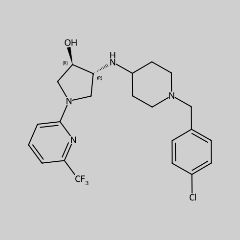 O[C@@H]1CN(c2cccc(C(F)(F)F)n2)C[C@H]1NC1CCN(Cc2ccc(Cl)cc2)CC1